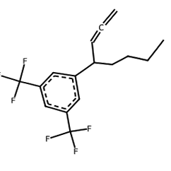 C=C=CC(CCCC)c1cc(C(F)(F)F)cc(C(F)(F)F)c1